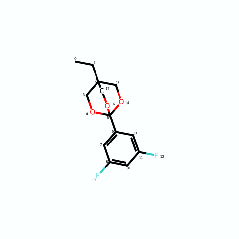 CCC12COC(c3cc(F)cc(F)c3)(OC1)OC2